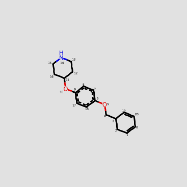 C1=CCC(COc2ccc(OC3CCNCC3)cc2)C=C1